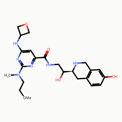 COCCN(C)c1nc(NC2COC2)cc(C(=O)NCC(O)[C@@H]2Cc3ccc(O)cc3CN2)n1